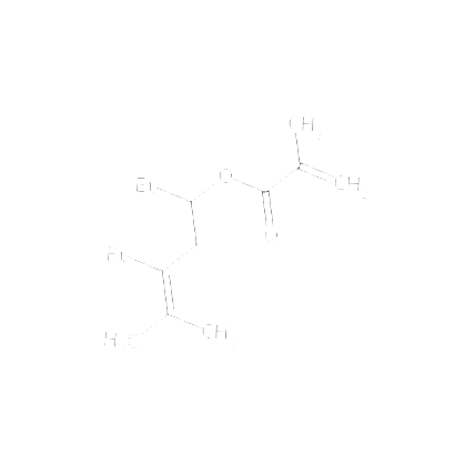 C=C(C)C(=O)OC(CC)CC(CC)=C(C)C